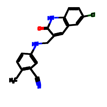 Cc1ccc(NCc2cc3cc(Cl)ccc3[nH]c2=O)cc1C#N